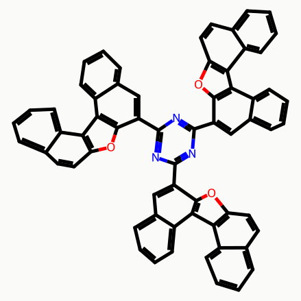 c1ccc2c(c1)ccc1oc3c(-c4nc(-c5cc6ccccc6c6c5oc5ccc7ccccc7c56)nc(-c5cc6ccccc6c6c5oc5ccc7ccccc7c56)n4)cc4ccccc4c3c12